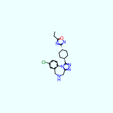 CCc1nc([C@H]2CC[C@H](c3nnc4n3-c3ccc(Cl)cc3CNC4)CC2)no1